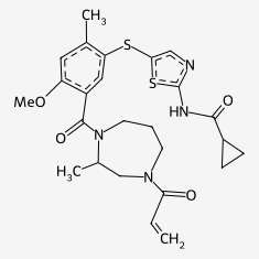 C=CC(=O)N1CCCN(C(=O)c2cc(Sc3cnc(NC(=O)C4CC4)s3)c(C)cc2OC)C(C)C1